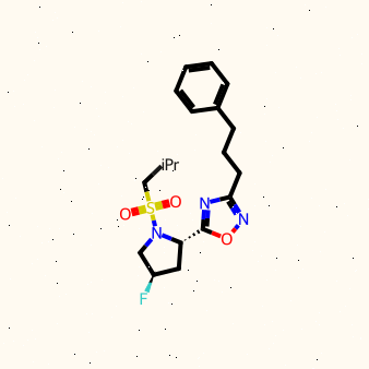 CC(C)CS(=O)(=O)N1C[C@H](F)C[C@H]1c1nc(CCCc2ccccc2)no1